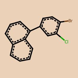 Clc1cc(-c2cccc3ccccc23)ccc1Br